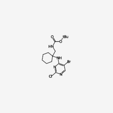 CC(C)(C)OC(=O)NCC1(Nc2nc(Cl)ncc2Br)CCCCC1